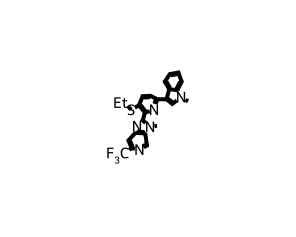 CCSc1ccc(-c2cn(C)c3ccccc23)nc1-c1nc2cc(C(F)(F)F)ncc2n1C